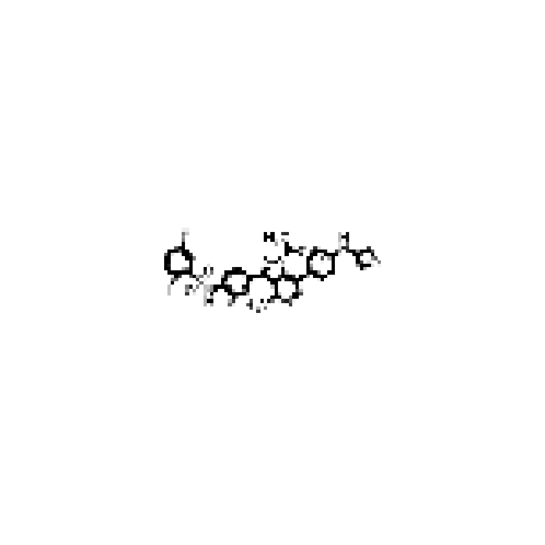 CC(C)n1nc(-c2ccc(NS(=O)(=O)c3cc(F)ccc3F)c(F)c2)c2c(N)ncc(C3=CCC(NC4COC4)CC3)c21